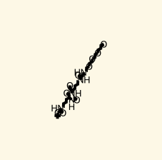 CC(C)(C)OC(=O)NCCCCC(NC=O)C(=O)NC(C=O)CCCCNC(=O)CNCCOCCOCCOCCC=O